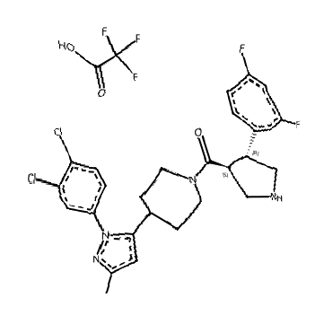 Cc1cc(C2CCN(C(=O)[C@@H]3CNC[C@H]3c3ccc(F)cc3F)CC2)n(-c2ccc(Cl)c(Cl)c2)n1.O=C(O)C(F)(F)F